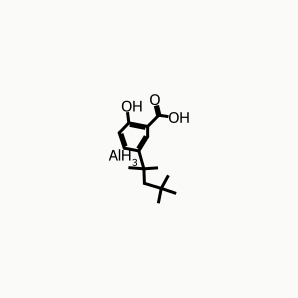 CC(C)(C)CC(C)(C)c1ccc(O)c(C(=O)O)c1.[AlH3]